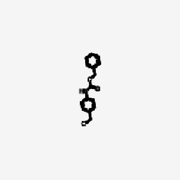 O=C(Nc1ccc(CCl)cc1)OCc1ccccc1